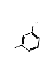 CSc1cc[c]c(C)c1